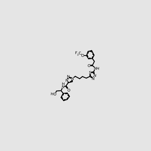 O=C(Cc1cccc(OC(F)(F)F)c1)Nc1nnc(CCCCn2cc(C(=O)NC(CO)c3ccccc3)nn2)s1